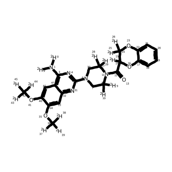 [2H]N([2H])c1nc(N2CC([2H])([2H])N(C(=O)C3([2H])Oc4ccccc4OC3([2H])[2H])C([2H])([2H])C2)nc2cc(OC([2H])([2H])[2H])c(OC([2H])([2H])[2H])cc12